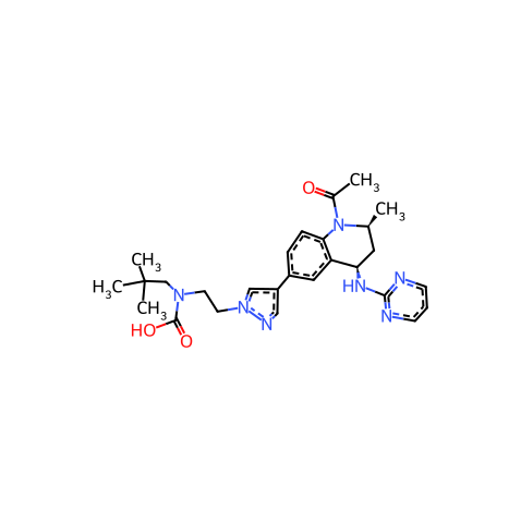 CC(=O)N1c2ccc(-c3cnn(CCN(CC(C)(C)C)C(=O)O)c3)cc2[C@H](Nc2ncccn2)C[C@@H]1C